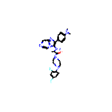 CC(Nc1c(-c2ccc(N(C)C)cc2)nc2cnccn12)C(=O)N1CCN(c2ccc(F)cc2F)CC1